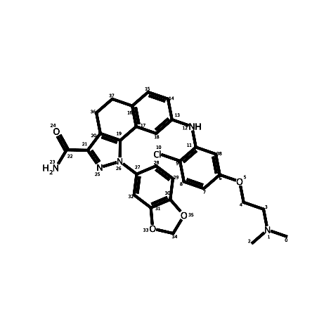 CN(C)CCOc1ccc(Cl)c(Nc2ccc3c(c2)-c2c(c(C(N)=O)nn2-c2ccc4c(c2)OCO4)CC3)c1